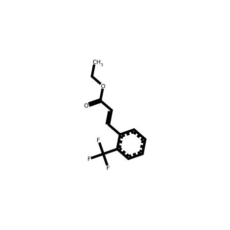 CCOC(=O)C=Cc1ccccc1C(F)(F)F